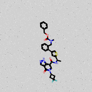 CC(NC(=O)c1cn(C2CC(F)(F)C2)c(=O)c2cn[nH]c12)c1cc(-c2ccccc2CN(C)C(=O)OCc2ccccc2)cs1